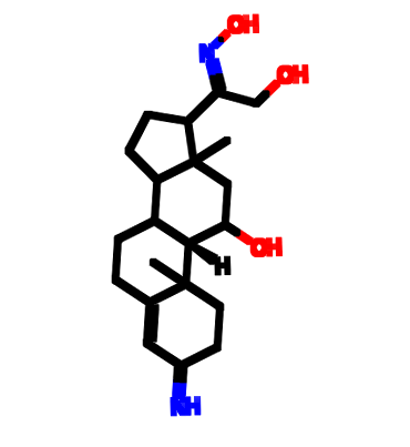 CC12CC(O)[C@H]3C(CCC4=CC(=N)CCC43C)C1CCC2/C(CO)=N/O